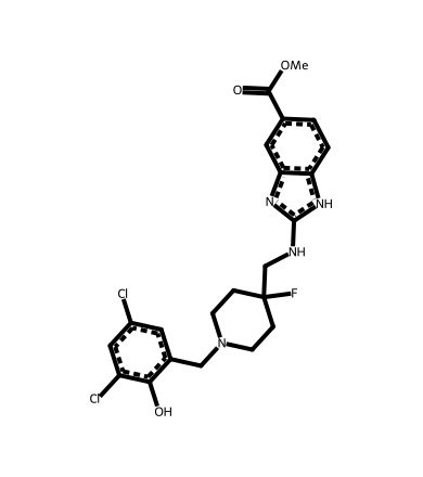 COC(=O)c1ccc2[nH]c(NCC3(F)CCN(Cc4cc(Cl)cc(Cl)c4O)CC3)nc2c1